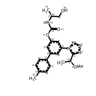 CO[C@@H](C)c1nnnn1-c1cc(OC(=O)N[C@@H](C)CO)cc(-c2ccc(C)cc2)c1